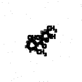 Cc1ccccc1C(=O)[C@]1(C=O)CC(C)NO1